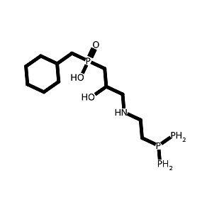 O=P(O)(CC(O)CNCCP(P)P)CC1CCCCC1